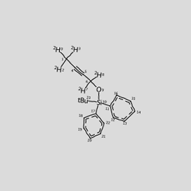 [2H]C([2H])([2H])C#CC([2H])([2H])O[Si](c1ccccc1)(c1ccccc1)C(C)(C)C